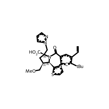 C=Cc1cc(C(=O)N2[C@@H](c3nccs3)[C@@H](COC)C[C@@]2(Cn2cccn2)C(=O)O)c(F)cc1C(C)(C)C